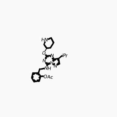 CC(=O)Oc1ccccc1CNc1nc(O[C@@H]2CCCNC2)nc2c(C(C)C)cnn12